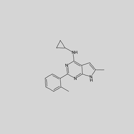 Cc1cc2c(NC3CC3)nc(-c3ccccc3C)nc2[nH]1